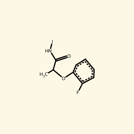 CC(Oc1ccccc1F)C(=O)NI